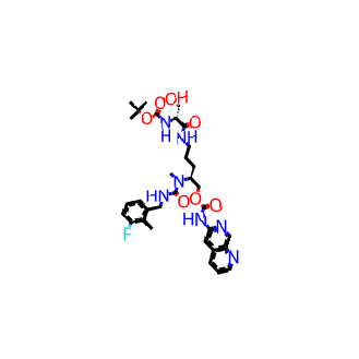 Cc1c(F)cccc1CNC(=O)N(C)[C@@H](CCCNC(=O)[C@@H](CO)NC(=O)OC(C)(C)C)COC(=O)Nc1cc2cccnc2cn1